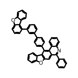 c1ccc(-c2nc3ccccc3c3c(-c4ccc(-c5cccc(-c6cccc7oc8ccccc8c67)c5)cc4)c4c(cc23)oc2ccccc24)cc1